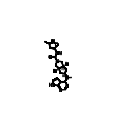 Cc1cc(NC(=O)N2C[C@H]3C[C@@H](N(C)c4ncnc5[nH]ccc45)C[C@H]3C2)on1